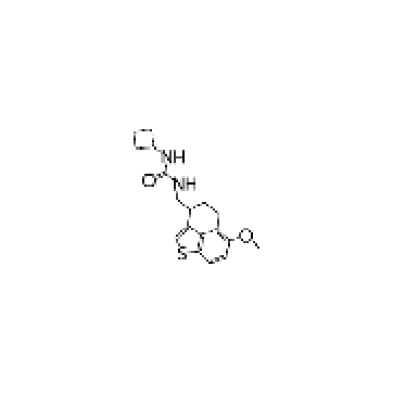 COc1ccc2scc3c2c1CCC3CNC(=O)NC1CCC1